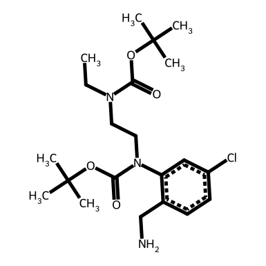 CCN(CCN(C(=O)OC(C)(C)C)c1cc(Cl)ccc1CN)C(=O)OC(C)(C)C